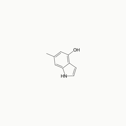 Cc1cc(O)c2cc[nH]c2c1